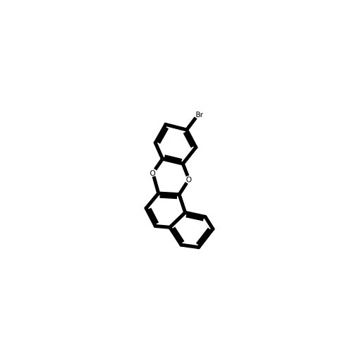 Brc1ccc2c(c1)Oc1c(ccc3ccccc13)O2